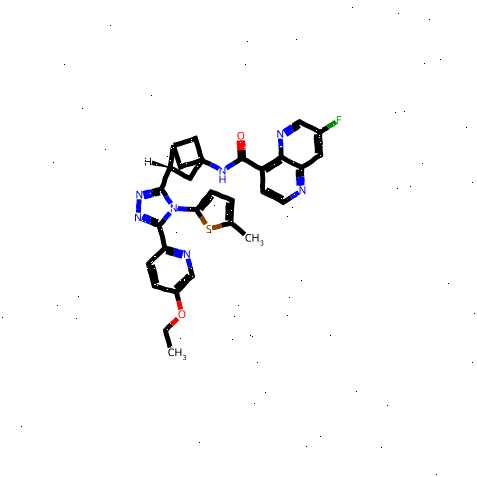 CCOc1ccc(-c2nnc([C@H]3CC4(NC(=O)c5ccnc6cc(F)cnc56)CC3C4)n2-c2ccc(C)s2)nc1